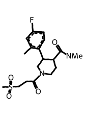 CNC(=O)C1CCN(C(=O)CCS(C)(=O)=O)CC1c1ccc(F)cc1C